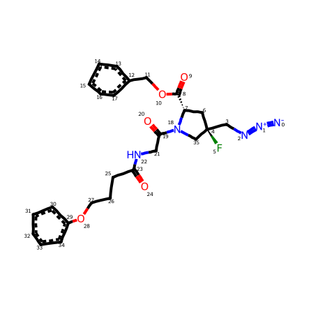 [N-]=[N+]=NC[C@@]1(F)C[C@@H](C(=O)OCc2ccccc2)N(C(=O)CNC(=O)CCCOc2ccccc2)C1